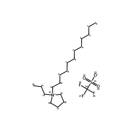 CCCCCCCCCCCC[N+]1(CCC)CCCC1.O=S(=O)([O-])C(F)(F)F